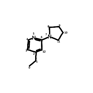 CCc1ccnc(N2CCCC2)c1